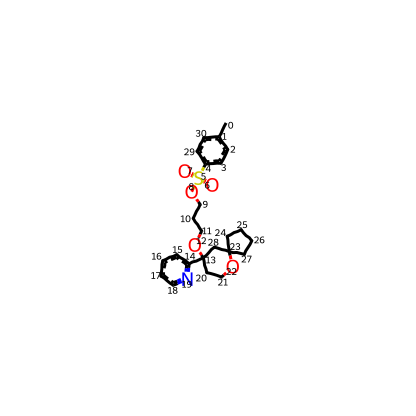 Cc1ccc(S(=O)(=O)OCCCOC2(c3ccccn3)CCOC3(CCCC3)C2)cc1